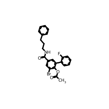 CC(=O)Oc1c(Br)cc(C(=O)NCCCc2ccccc2)cc1-c1ccccc1F